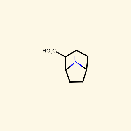 O=C(O)C1CCC2CCC1N2